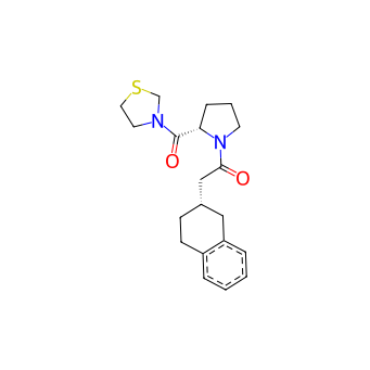 O=C([C@@H]1CCCN1C(=O)C[C@H]1CCc2ccccc2C1)N1CCSC1